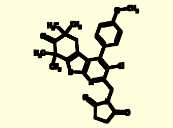 COc1ccc(-c2c(Cl)c(CN3C(=O)CCC3=O)nc3sc4c(c23)CC(C)(C)C(=O)C4(C)C)cc1